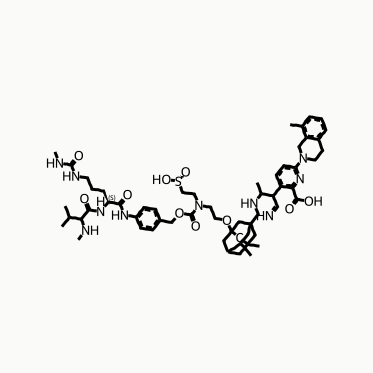 CNC(=O)NCCC[C@H](NC(=O)C(NC)C(C)C)C(=O)Nc1ccc(COC(=O)N(CCOC23CC4CC(C)(CC(CNC(C)C(C=N)c5ccc(N6CCc7cccc(C)c7C6)nc5C(=O)O)(CC4C)C2)C3)CCS(=O)O)cc1